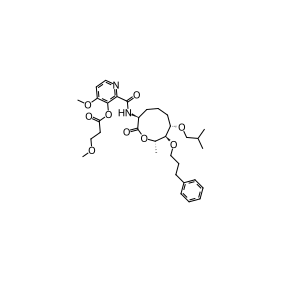 COCCC(=O)Oc1c(OC)ccnc1C(=O)N[C@H]1CCC[C@H](OCC(C)C)[C@@H](OCCCc2ccccc2)[C@H](C)OC1=O